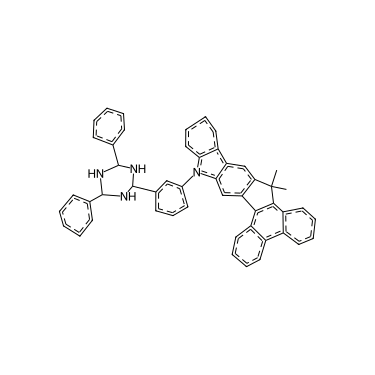 CC1(C)c2cc3c4ccccc4n(-c4cccc(C5NC(c6ccccc6)NC(c6ccccc6)N5)c4)c3cc2-c2c1c1ccccc1c1ccccc21